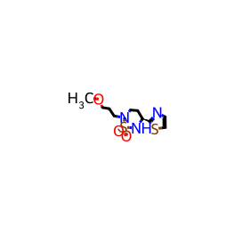 COCCCN1CC[C@@H](c2nccs2)NS1(=O)=O